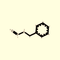 O=PSCc1ccccc1